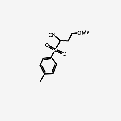 [C-]#[N+]C(CCOC)S(=O)(=O)c1ccc(C)cc1